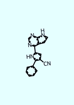 N#Cc1cc(-c2ncnc3[nH]ccc23)[nH]c1-c1ccccc1